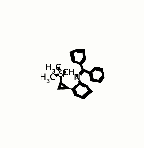 C[Si](C)(C)[C@@H]1C[C@H]1c1ccccc1N=C(c1ccccc1)c1ccccc1